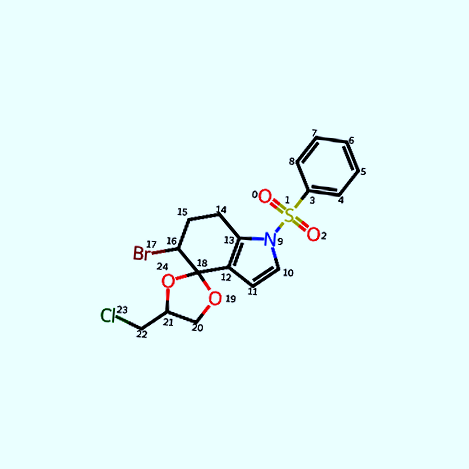 O=S(=O)(c1ccccc1)n1ccc2c1CCC(Br)C21OCC(CCl)O1